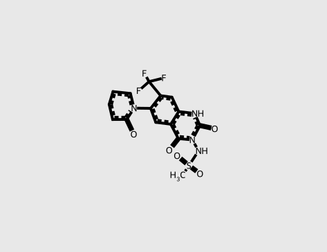 CS(=O)(=O)Nn1c(=O)[nH]c2cc(C(F)(F)F)c(-n3ccccc3=O)cc2c1=O